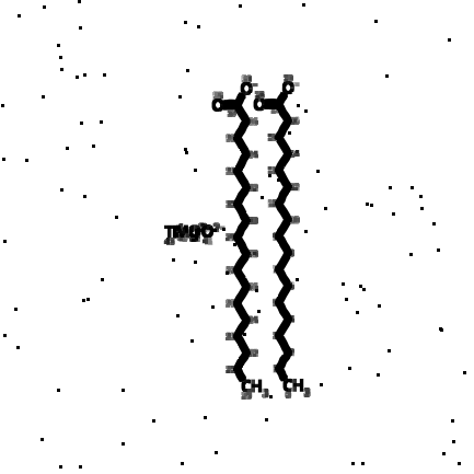 CCCCCCCCCCCCCCCCCC(=O)[O-].CCCCCCCCCCCCCCCCCC(=O)[O-].[Mg+2].[O-2].[O-2].[Ti+4]